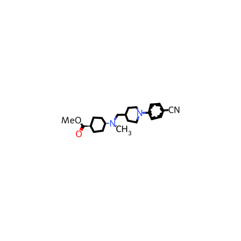 COC(=O)[C@H]1CC[C@H](N(C)CC2CCN(c3ccc(C#N)cc3)CC2)CC1